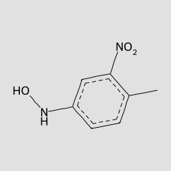 Cc1ccc(NO)cc1[N+](=O)[O-]